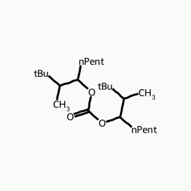 CCCCCC(OC(=O)OC(CCCCC)C(C)C(C)(C)C)C(C)C(C)(C)C